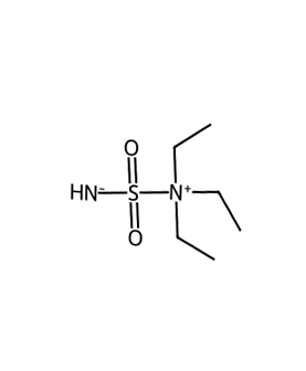 CC[N+](CC)(CC)S([NH-])(=O)=O